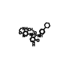 Cc1c(Nc2cc[nH]c(=O)c2C(=O)Nc2ccc(C3CCCCC3)cc2)cnc2c1NCCO2